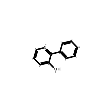 O=Cc1cccnc1-c1ccccc1